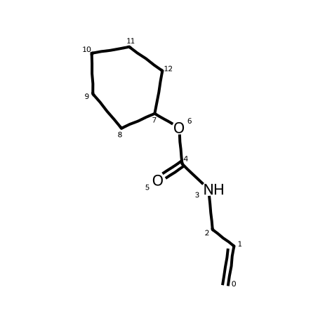 C=CCNC(=O)OC1CCCCC1